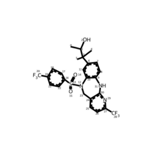 CC(O)C(C)(C)c1ccc2c(c1)N(S(=O)(=O)c1ccc(C(F)(F)F)cc1)Cc1ccc(C(F)(F)F)nc1N2